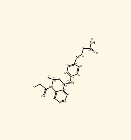 CCC(=O)N1c2ccccc2[C@H](Nc2ccc(SCCC(=O)O)cc2)C[C@@H]1C